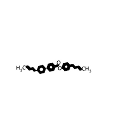 C/C=C/CCc1ccc(OC(=O)c2ccc([C@H]3CC[C@H](CC/C=C/C)CC3)cc2)cc1